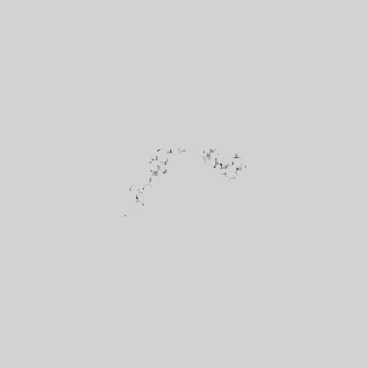 CCCCNC(=O)OCOc1ccc2ccc(OCCCCN3CCN(c4cccc5sccc45)CC3)cc2n1